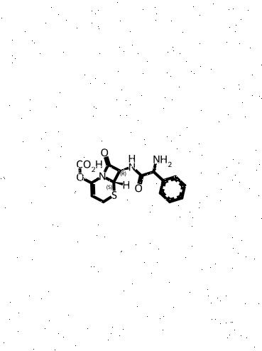 NC(C(=O)N[C@@H]1C(=O)N2C(OC(=O)O)=CCS[C@@H]12)c1ccccc1